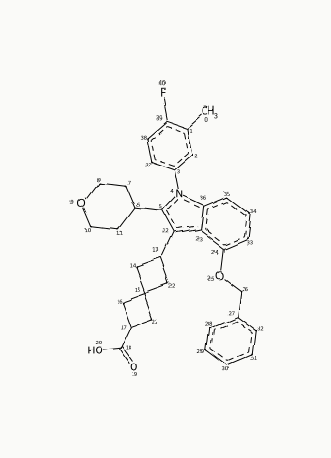 Cc1cc(-n2c(C3CCOCC3)c(C3CC4(CC(C(=O)O)C4)C3)c3c(OCc4ccccc4)cccc32)ccc1F